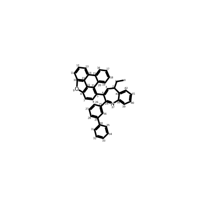 CCC1C=C(c2ccc3oc4cccc5c6ccccc6c2c3c45)C(c2cccc(-c3ccccc3)c2)=Nc2ccccc21